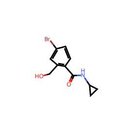 O=C(NC1CC1)c1ccc(Br)cc1CO